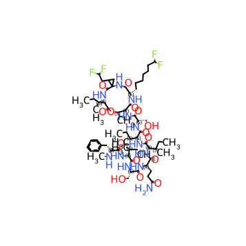 CC[C@H](C)[C@H](NC(=O)[C@@H](Cc1ccccc1)NC)C(=O)N[C@@H](CO)C(=O)N[C@H](CCC(N)=O)C(=O)N[C@@H](C(=O)N[C@H](C(=O)N[C@@H](CO)C(=O)N[C@H]1C(=O)N[C@@H](CCCCCCC(F)F)C(=O)NC2(CC2CC(F)F)C(=O)N[C@@H]([C@@H](C)CC)C(=O)O[C@H]1C)[C@@H](C)CC)[C@@H](C)CC